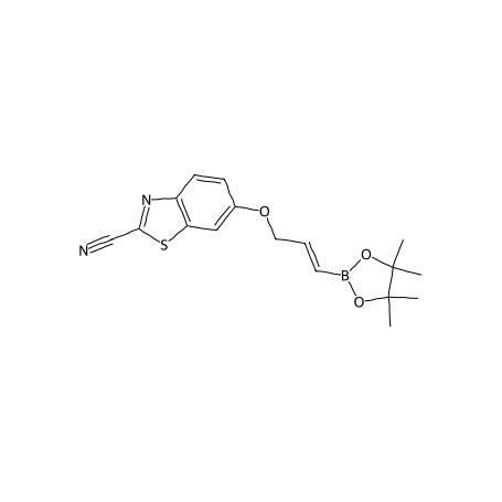 CC1(C)OB(C=CCOc2ccc3nc(C#N)sc3c2)OC1(C)C